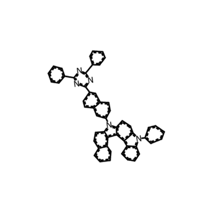 c1ccc(-c2nc(-c3ccccc3)nc(-c3ccc4cc(-n5c6ccc7ccccc7c6c6c7c8ccccc8n(-c8ccccc8)c7ccc65)ccc4c3)n2)cc1